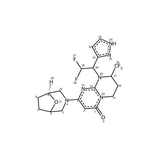 O=c1cc(N2CC3CC[C@@H](C2)O3)nc2n1CCC(C(F)(F)F)N2C(c1cc[nH]n1)C(F)F